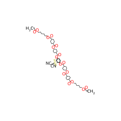 C=CC(=O)OCCCCCCOC(=O)C1CCC(C(=O)OC2CCC(C(=O)Oc3ccc(OC(=O)C4CCC(OC(=O)C5CCC(C(=O)OCCCCCCOC(=O)C=C)CC5)CC4)c4c3SC(=C(C#N)C#N)S4)CC2)CC1